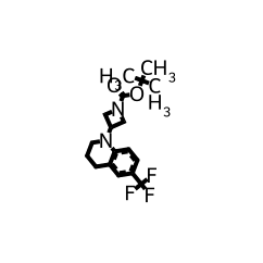 CC(C)(C)OC(=O)N1CC(N2CCCc3cc(C(F)(F)F)ccc32)C1